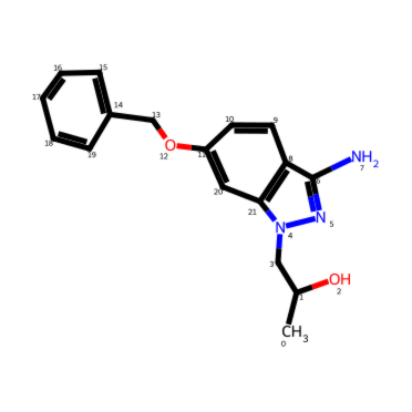 CC(O)Cn1nc(N)c2ccc(OCc3ccccc3)cc21